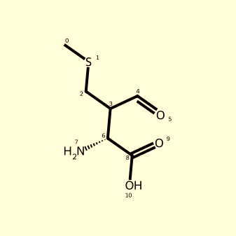 CSCC(C=O)[C@@H](N)C(=O)O